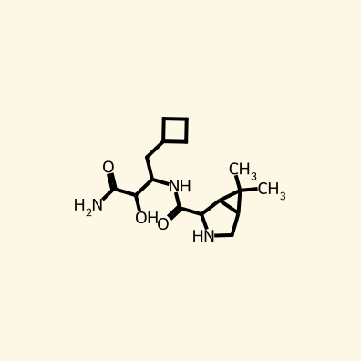 CC1(C)C2CNC(C(=O)NC(CC3CCC3)C(O)C(N)=O)C21